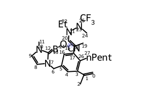 C=C(C)c1cc(CN2C=CN(C)C2=BOC#N)cc(/C(C)=C/N(CC)N(C)C(F)(F)F)c1CCCCC